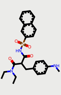 CCN(CC)C(=O)C(Cc1ccc(NC)cc1)C(=O)NS(=O)(=O)c1ccc2ccccc2c1